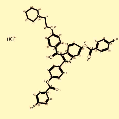 Cl.O=C(Oc1ccc(-c2sc3cc(OC(=O)c4ccc(F)cc4)ccc3c2C(=O)c2ccc(OCCN3CCCCC3)cc2)cc1)c1ccc(F)cc1